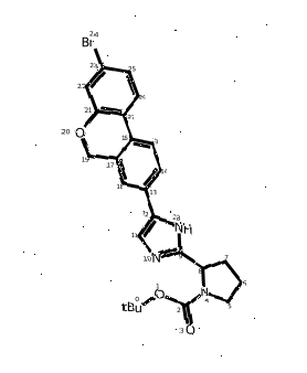 CC(C)(C)OC(=O)N1CCCC1c1ncc(-c2ccc3c(c2)COc2cc(Br)ccc2-3)[nH]1